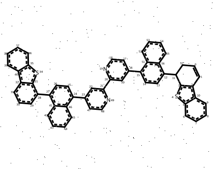 C1=Cc2c(sc3ccccc23)C(c2ccc(-c3ccnc(-c4cc(-c5ccc(-c6cccc7c6sc6ccccc67)c6ccccc56)ccn4)c3)c3ccccc23)C1